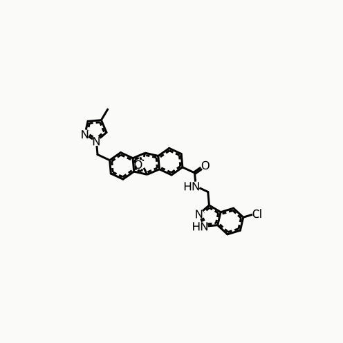 Cc1cnn(Cc2ccc3c(c2)c2oc3c3cc(C(=O)NCc4n[nH]c5ccc(Cl)cc45)ccc32)c1